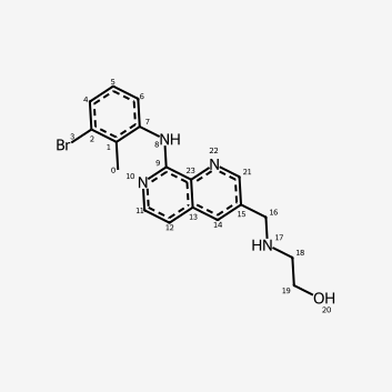 Cc1c(Br)cccc1Nc1nccc2cc(CNCCO)cnc12